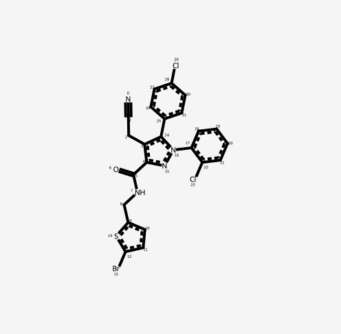 N#CCc1c(C(=O)NCc2ccc(Br)s2)nn(-c2ccccc2Cl)c1-c1ccc(Cl)cc1